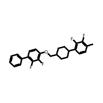 Cc1ccc(C2CCC(COc3ccc(-c4ccccc4)c(F)c3F)CC2)c(F)c1F